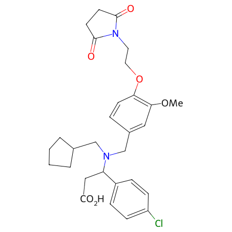 COc1cc(CN(CC2CCCC2)C(CC(=O)O)c2ccc(Cl)cc2)ccc1OCCN1C(=O)CCC1=O